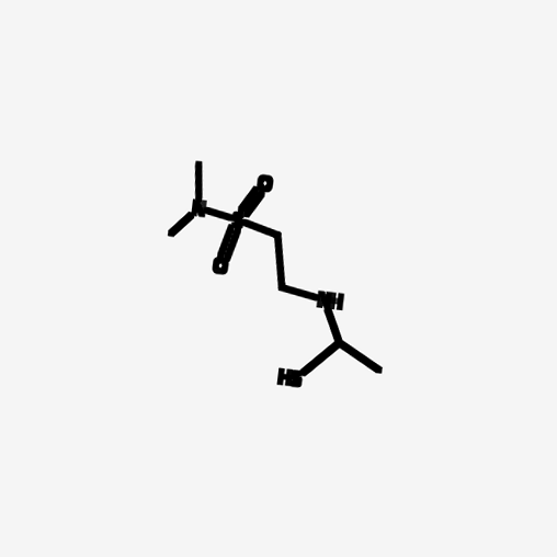 CC(S)NCCS(=O)(=O)N(C)C